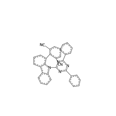 N#Cc1cccc(C#N)c1-c1cccc2c3ccccc3n(-c3nc(-c4ccccc4)nc(-c4ccccc4)n3)c12